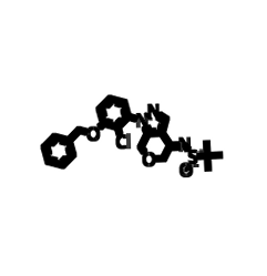 CC(C)(C)[S@+]([O-])/N=C1\COCc2c1cnn2-c1cccc(OCc2ccccc2)c1Cl